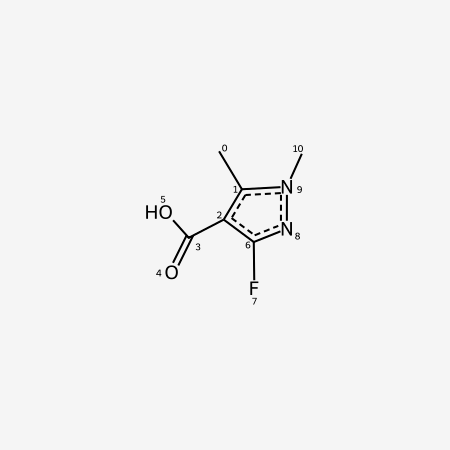 Cc1c(C(=O)O)c(F)nn1C